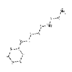 NCCNCCCCSC1CCCCC1